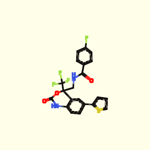 O=C1Nc2ccc(-c3cccs3)cc2C(CNC(=O)c2ccc(F)cc2)(C(F)(F)F)O1